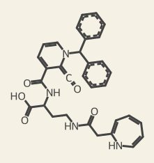 O=C=C1C(C(=O)NC(CCNC(=O)CC2=CC=CC=CN2)C(=O)O)=CC=CN1C(c1ccccc1)c1ccccc1